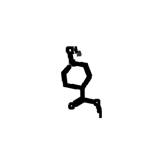 CN1CCC(C(=O)OI)CC1